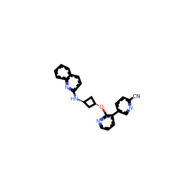 N#Cc1ccc(-c2cccnc2O[C@H]2C[C@H](Nc3ccc4ccccc4n3)C2)cn1